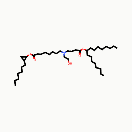 CCCCCCCCC(CCCCCCCC)OC(=O)CCCN(CCO)CCCCCCCC(=O)OC1CC1CCCCCCC